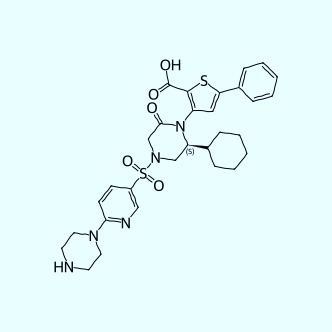 O=C(O)c1sc(-c2ccccc2)cc1N1C(=O)CN(S(=O)(=O)c2ccc(N3CCNCC3)nc2)C[C@@H]1C1CCCCC1